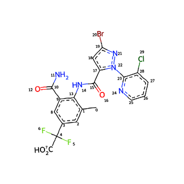 Cc1cc(C(F)(F)C(=O)O)cc(C(N)=O)c1NC(=O)c1cc(Br)nn1-c1ncccc1Cl